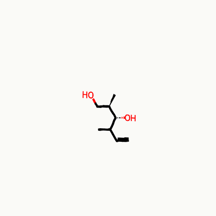 C=CC(C)[C@@H](O)[C@H](C)CO